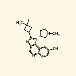 CN1CC[C@@H](n2c(C3CC(C)(F)C3)nc3cnc4ccc(C#N)cc4c32)C1